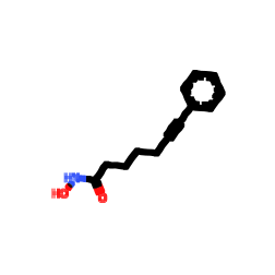 O=C(CCCCC#Cc1ccccc1)NO